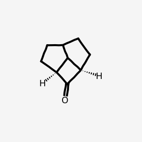 O=C1[C@H]2CCC3CC[C@@H]1C32